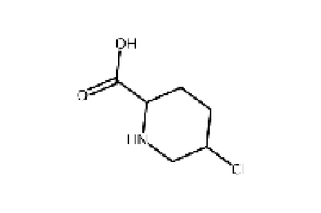 O=C(O)C1CCC(Cl)CN1